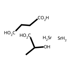 CC(O)C(=O)O.O=C(O)CCC(=O)O.[SrH2].[SrH2]